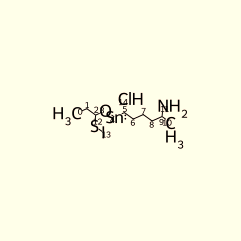 CCC([O][Sn][CH2]CCCC(C)N)SI.Cl